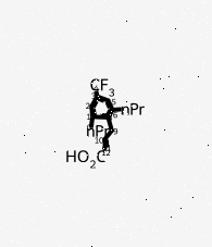 CCCc1cc(C(F)(F)F)cc(CCC)c1CC=CC(=O)O